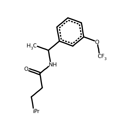 CC(C)CCC(=O)NC(C)c1cccc(OC(F)(F)F)c1